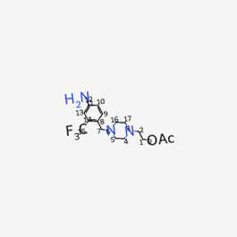 CC(=O)OCCN1CCN(Cc2ccc(N)cc2C(F)(F)F)CC1